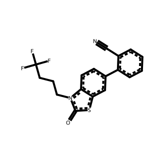 N#Cc1ccccc1-c1ccc2c(c1)sc(=O)n2CCCC(F)(F)F